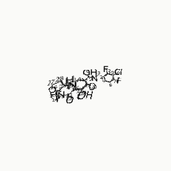 O=C(NCc1ccc(F)c(Cl)c1F)c1cn2c(c(O)c1=O)C(=O)N(I)[C@@H]1OCC[C@@H]12